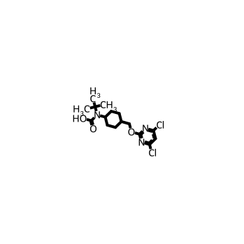 CC(C)(C)N(C(=O)O)C1CCC(COc2nc(Cl)cc(Cl)n2)CC1